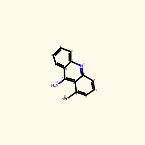 CCCc1cccc2nc3ccccc3c(N)c12